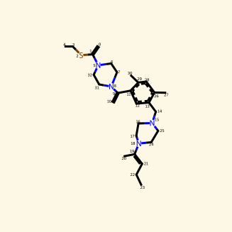 C=C(SCC)N1CCN(C(=C)c2cc(CN3CCN(/C(C)=C/CC)CC3)c(C)cc2C)CC1